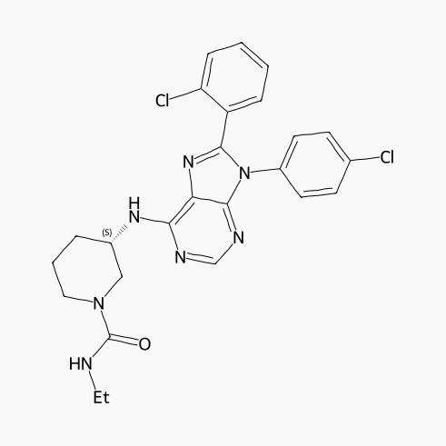 CCNC(=O)N1CCC[C@H](Nc2ncnc3c2nc(-c2ccccc2Cl)n3-c2ccc(Cl)cc2)C1